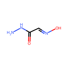 NNC(=O)C=NO